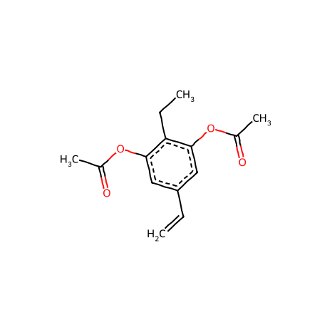 C=Cc1cc(OC(C)=O)c(CC)c(OC(C)=O)c1